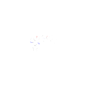 CC(C)(C)OC(=O)N1CCC(C=O)(C(Nc2ccccc2)c2cccnc2)CC1